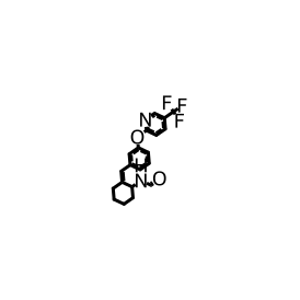 O=CNC1CCCCC1=Cc1cccc(Oc2ccc(C(F)(F)F)cn2)c1